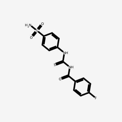 NS(=O)(=O)c1ccc(NC(=S)NC(=O)c2ccc(F)cc2)cc1